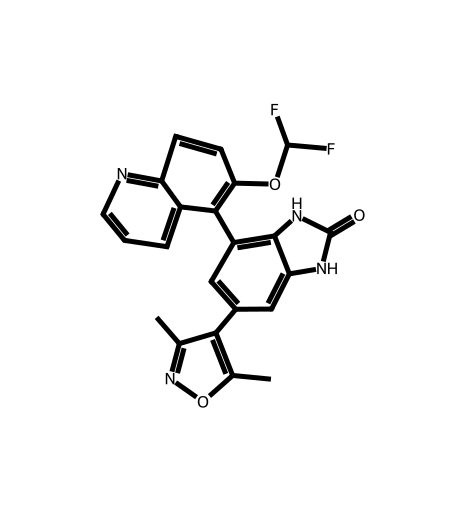 Cc1noc(C)c1-c1cc(-c2c(OC(F)F)ccc3ncccc23)c2[nH]c(=O)[nH]c2c1